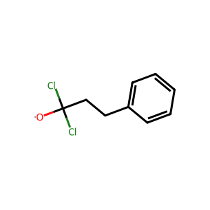 [O]C(Cl)(Cl)CCc1ccccc1